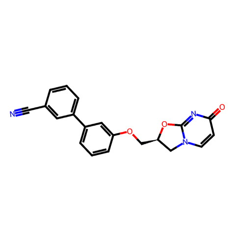 N#Cc1cccc(-c2cccc(OC[C@@H]3Cn4ccc(=O)nc4O3)c2)c1